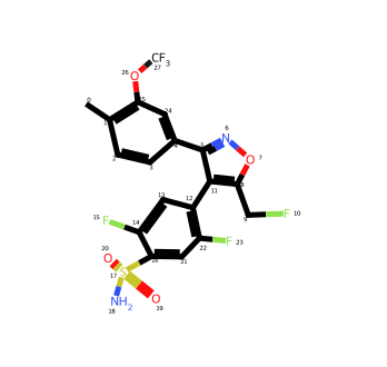 Cc1ccc(-c2noc(CF)c2-c2cc(F)c(S(N)(=O)=O)cc2F)cc1OC(F)(F)F